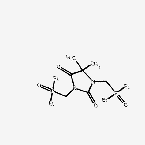 CCP(=O)(CC)CN1C(=O)N(CP(=O)(CC)CC)C(C)(C)C1=O